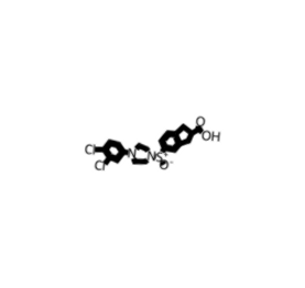 O=C(O)C1Cc2ccc([S+]([O-])N3CCN(c4ccc(Cl)c(Cl)c4)CC3)cc2C1